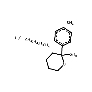 C.C.C.C.C.C.[SiH3]C1(c2ccccc2)CCCCO1